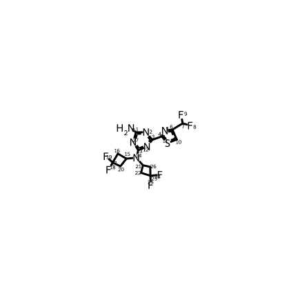 Nc1nc(-c2nc(C(F)F)cs2)nc(N(C2CC(F)(F)C2)C2CC(F)(F)C2)n1